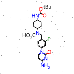 CC(C)(C)OC(=O)N[C@H]1CC[C@H](N(Cc2ccc(-n3ccc(N)nc3=O)cc2F)C(=O)O)CC1